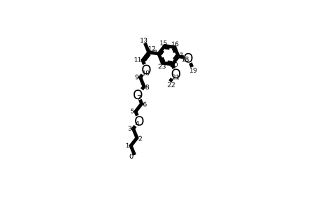 CCCCOCCOCCO/C=C(/C)c1ccc(OC)c(OC)c1